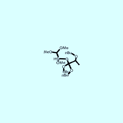 CCCCOC(C)C(OCCCC)(OCCCC)O[SiH](OC)C(OC)OC